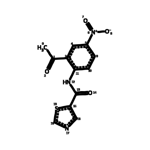 CC(=O)c1cc([N+](=O)[O-])ccc1NC(=O)c1cncs1